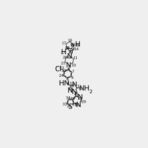 Nc1nc(Nc2ccc(N3CCN([C@H]4C[C@@H]5CC[C@H]4C5)CC3)c(Cl)c2)nn1-c1ncnc2sccc12